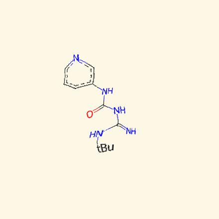 CC(C)(C)NC(=N)NC(=O)Nc1cccnc1